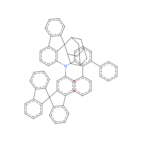 c1ccc(-c2cccc(N(c3ccc4c(c3)C3(c5ccccc5-c5ccccc53)c3ccccc3-4)c3cccc4c3C3(c5ccccc5-4)C4CC5CC(C4)CC3C5)c2-c2ccccc2)cc1